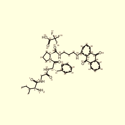 CCC(C)[C@H](N)C(=O)NCC(=O)N[C@@H](Cc1ccccc1)C(=O)N1CCC[C@H]1C(=O)NCCCNc1cccc2c1C(=O)c1ccccc1C2=O.O=C(O)C(F)(F)F